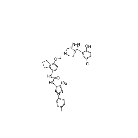 Cc1ccc(-n2cc(NC(=O)Nc3ccc(OCCN4CCn5c(nnc5-c5cc(Cl)ccc5O)C4)c4c3CCC4)c(C(C)(C)C)n2)cc1